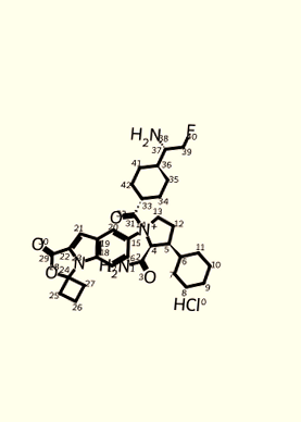 Cl.NC(=O)[C@@H]1[C@H](C2CCCCC2)CC[N+]1(c1ccc2c(c1)cc1n2C2(CCC2)OC1=O)C(=O)[C@H]1CC[C@H]([C@H](N)CF)CC1